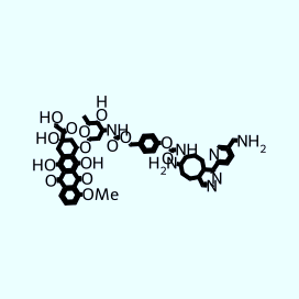 COc1cccc2c1C(=O)c1c(O)c3c(c(O)c1C2=O)C[C@@](O)(C(=O)CO)C[C@@H]3OC1CC(NC(=O)OCc2ccc(OC(=O)NC3CCC4C(c5ccc(CN)cn5)=NN=CC4CCC3N)cc2)C(O)C(C)O1